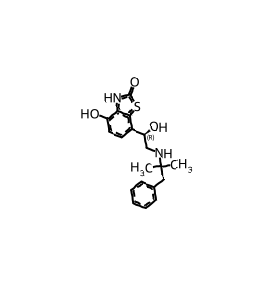 CC(C)(Cc1ccccc1)NC[C@H](O)c1ccc(O)c2[nH]c(=O)sc12